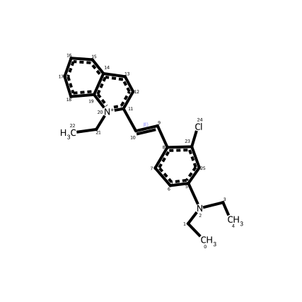 CCN(CC)c1ccc(/C=C/c2ccc3ccccc3[n+]2CC)c(Cl)c1